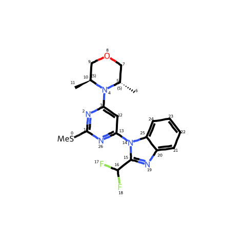 CSc1nc(N2[C@@H](C)COC[C@@H]2C)cc(-n2c(C(F)F)nc3ccccc32)n1